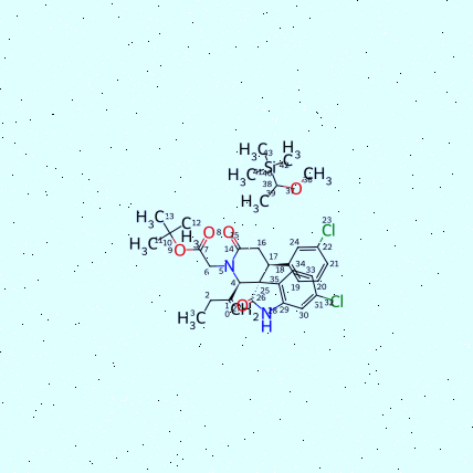 C=C(CC)[C@H]1N(CC(=O)OC(C)(C)C)C(=O)C[C@@H](c2cccc(Cl)c2)[C@]12C(=O)Nc1cc(Cl)ccc12.COC(C)[Si](C)(C)C